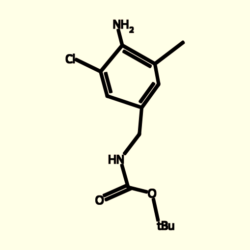 Cc1cc(CNC(=O)OC(C)(C)C)cc(Cl)c1N